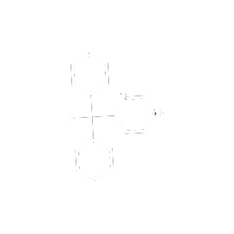 Cl.ClC(c1ccccc1)(c1ccccc1)c1ccccn1